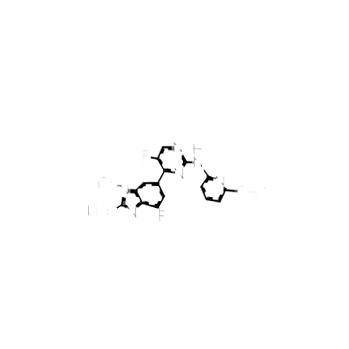 Cc1nc2c(F)cc(-c3nc(Nc4cccc(C=O)n4)ncc3F)cc2n1C(C)C